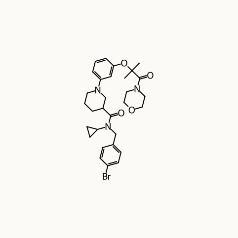 CC(C)(Oc1cccc(N2CCCC(C(=O)N(Cc3ccc(Br)cc3)C3CC3)C2)c1)C(=O)N1CCOCC1